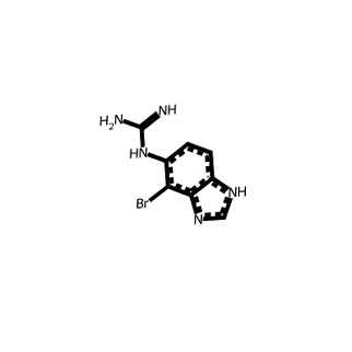 N=C(N)Nc1ccc2[nH]cnc2c1Br